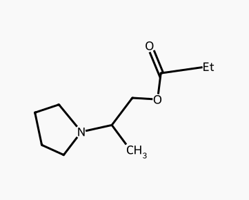 CCC(=O)OCC(C)N1CCCC1